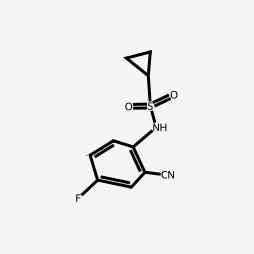 N#Cc1cc(F)[c]cc1NS(=O)(=O)C1CC1